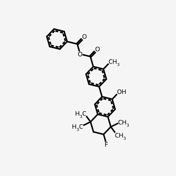 Cc1cc(-c2cc3c(cc2O)C(C)(C)C(F)CC3(C)C)ccc1C(=O)OC(=O)c1ccccc1